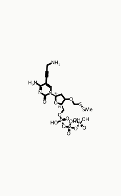 CSSCOC1C[C@H](n2cc(C#CCN)c(N)nc2=O)O[C@@H]1COP(=O)(O)OP(=O)(O)OP(=O)(O)O